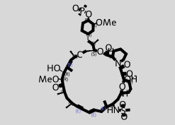 CO[C@@H]1C[C@H](C[C@@H](C)[C@@H]2CC[C@H](C)/C=C(\C)[C@@H](O)[C@@H](OC)C(=O)[C@H](C)C[C@H](C)/C=C/C=C/C=C(\C)[C@H](NS(C)(=O)=O)C[C@@H]3CC[C@@H](C)[C@@](O)(O3)C(=O)C(=O)N3CCCC[C@H]3C(=O)O2)CC[C@H]1OP(C)(C)=O